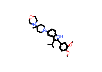 COc1ccc(-c2[nH]c3ccc(N4CCC(C)(N5CCOCC5)CC4)cc3c2C(C)C)cc1OC